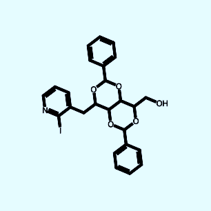 OCC1OC(c2ccccc2)OC2C(Cc3cccnc3I)OC(c3ccccc3)OC12